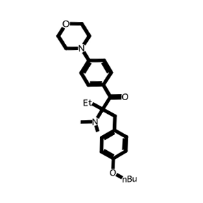 CCCCOc1ccc(CC(CC)(C(=O)c2ccc(N3CCOCC3)cc2)N(C)C)cc1